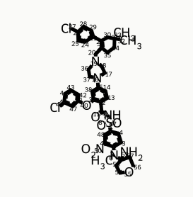 CN(c1ccc(S(=O)(=O)NC(=O)c2ccc(N3CCN(CC4=C(c5ccc(Cl)cc5)CC(C)(C)CC4)CC3)cc2Oc2cccc(Cl)c2)cc1[N+](=O)[O-])C1(N)CCOCC1